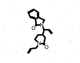 C=CCN1CCC(C(C=C)N2Cc3ccccc3C2=O)CC1=O